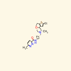 CCc1cc2c(s1)CCO[C@@]21CCN(C[C@H]2C[C@@H](NC(=O)c3ccc(C)nn3)C2)[C@@H](C)C1